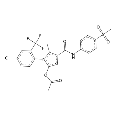 CC(=O)Oc1cc(C(=O)Nc2ccc(S(C)(=O)=O)cc2)c(C)n1-c1ccc(Cl)cc1C(F)(F)F